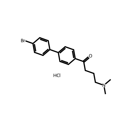 CN(C)CCCC(=O)c1ccc(-c2ccc(Br)cc2)cc1.Cl